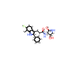 Cc1c(F)ccc2c(CCC(=O)N[C@@H]3C(=O)NC[C@H]3O)c(-c3ccccc3)[nH]c12